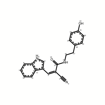 N#CC(=Cc1c[nH]c2ccccc12)C(=O)NCCc1ccc(O)cc1